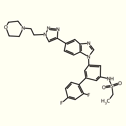 CCS(=O)(=O)Nc1cc(-c2ccc(F)cc2F)cc(-n2cnc3cc(-c4cn(CCN5CCOCC5)nn4)ccc32)c1